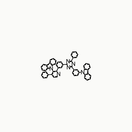 c1ccc(-c2nc(-c3cccc(-c4nccc(-c5ccccc5)c4-n4c5ccccc5c5ccccc54)c3)nc(-c3cccc(-n4c5ccccc5c5ccccc54)c3)n2)cc1